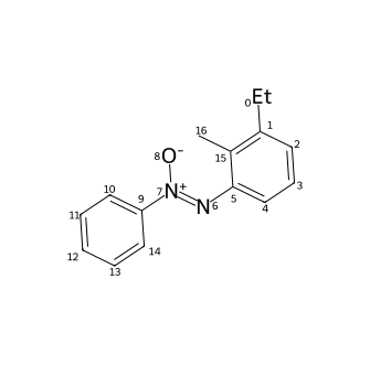 CCc1cccc(N=[N+]([O-])c2ccccc2)c1C